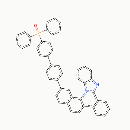 O=P(c1ccccc1)(c1ccccc1)c1ccc(-c2ccc(-c3ccc4ccc5c6ccccc6c6nc7ccccc7n6c5c4c3)cc2)cc1